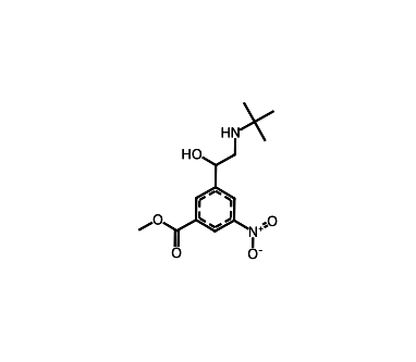 COC(=O)c1cc(C(O)CNC(C)(C)C)cc([N+](=O)[O-])c1